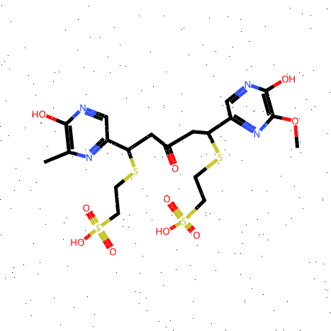 COc1nc(C(CC(=O)CC(SCCS(=O)(=O)O)c2cnc(O)c(C)n2)SCCS(=O)(=O)O)cnc1O